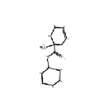 CC1(C(=O)OC2CCCCC2)CC=CCC1